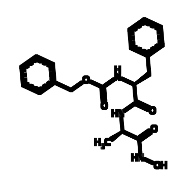 C[C@@H](NC(=O)[C@H](Cc1ccccc1)NC(=O)OCc1ccccc1)C(=O)NO